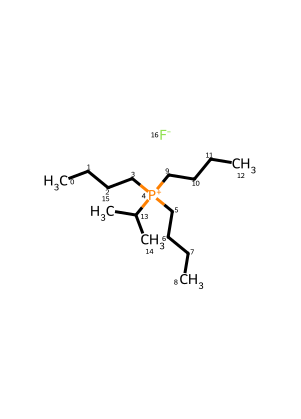 CCCC[P+](CCCC)(CCCC)C(C)C.[F-]